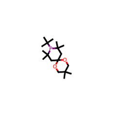 CC1(C)COC2(CC(C)(C)P(C(C)(C)C)C(C)(C)C2)OC1